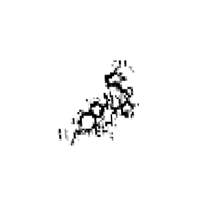 Cc1ccc(C(=O)N[C@@]2(C(=O)Nc3ccc4c(c3)C(C)(C)CN(C)CC4)CCOC2)s1